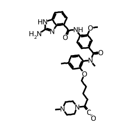 COc1cc(C(=O)N(C)c2ccc(C)cc2OCCCCC(=C=O)N2CCN(C)CC2)ccc1NC(=O)c1cccc2[nH]c(N)nc12